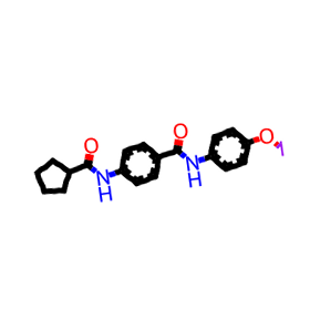 O=C(Nc1ccc(OI)cc1)c1ccc(NC(=O)C2CCCC2)cc1